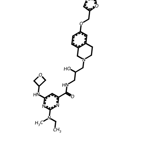 CCN(C)c1nc(NC2COC2)cc(C(=O)NCC(O)CN2CCc3cc(OCc4cnco4)ccc3C2)n1